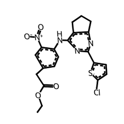 CCOC(=O)Cc1ccc(Nc2nc(-c3ccc(Cl)s3)nc3c2CCC3)c([N+](=O)[O-])c1